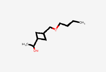 CCCCOCC1CC(C(C)O)C1